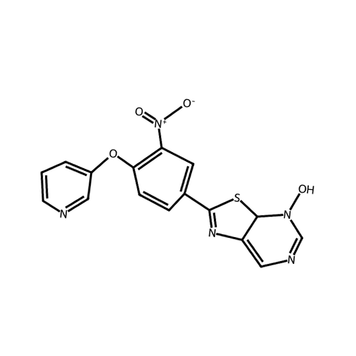 O=[N+]([O-])c1cc(C2=NC3=CN=CN(O)C3S2)ccc1Oc1cccnc1